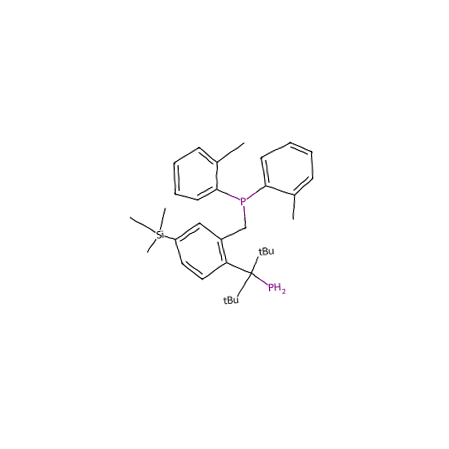 Cc1ccccc1P(Cc1cc([Si](C)(C)C)ccc1C(P)(C(C)(C)C)C(C)(C)C)c1ccccc1C